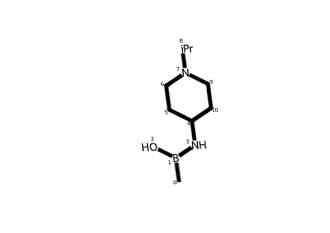 CB(O)NC1CCN(C(C)C)CC1